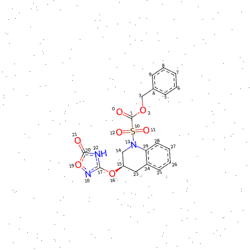 O=C(OCc1ccccc1)S(=O)(=O)N1C[C@H](Oc2noc(=O)[nH]2)Cc2ccccc21